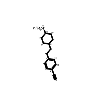 C#Cc1ccc(CCC2CCC(CCCCCCC)CC2)cc1